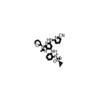 Cc1nc2c(Nc3ccccc3N(C)S(=O)(=O)C3CC3)cc(Nc3cccc(C#N)n3)nc2n1C1CCCCO1